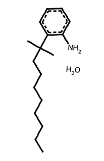 CCCCCCCCC(C)(C)c1ccccc1N.O